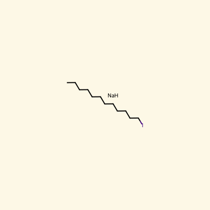 CCCCCCCCCCCCI.[NaH]